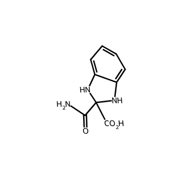 NC(=O)C1(C(=O)O)Nc2ccccc2N1